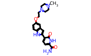 CN1CCN(CCOc2ccc3[nH]c(-c4c[c]c(C(N)=O)[nH]c4=O)cc3c2)CC1